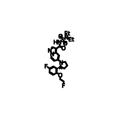 CCN(CC)S(=O)(=O)NC(=O)c1cnn2ccc(N3CCC[C@@H]3c3cc(F)ccc3OCCF)cc12